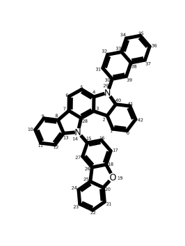 C1=CC2c3c(ccc4c5ccccc5n(-c5ccc6oc7ccccc7c6c5)c34)N(c3ccc4ccccc4c3)C2C=C1